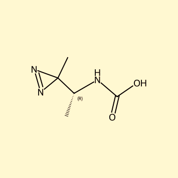 C[C@@H](NC(=O)O)C1(C)N=N1